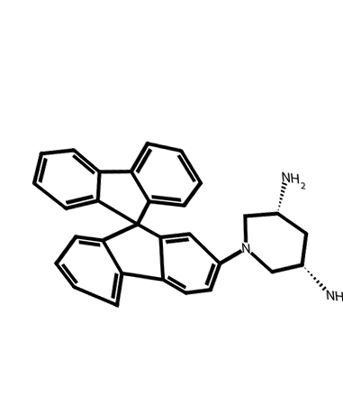 N[C@@H]1C[C@H](N)CN(c2ccc3c(c2)C2(c4ccccc4-c4ccccc42)c2ccccc2-3)C1